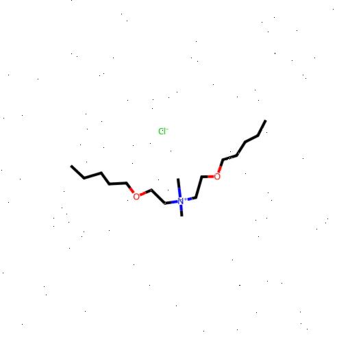 CCCCCOCC[N+](C)(C)CCOCCCCC.[Cl-]